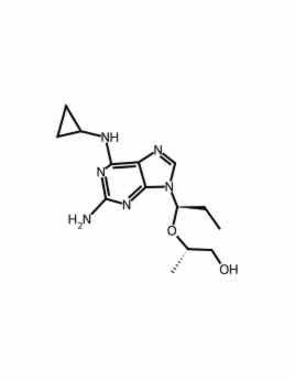 CC[C@@H](O[C@@H](C)CO)n1cnc2c(NC3CC3)nc(N)nc21